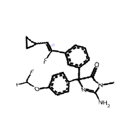 CN1C(=O)C(c2ccc(OC(F)F)cc2)(c2cccc(/C(F)=C/C3CC3)c2)N=C1N